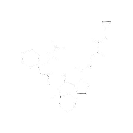 CCN(C(C)(C)C)S(=O)(=O)CC1(NC(=O)N[C@H](C(=O)N2CCC[C@H]2C(=O)NCC(=O)C(=O)NC2CC2)C2(C)CCCCC2)CCCCC1